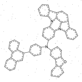 c1ccc2c(c1)cc(-c1ccc(N(c3ccc4oc5ccccc5c4c3)c3ccc4c(c3)n3c5ccccc5c5ccc6c7ccccc7n4c6c53)cc1)c1ccccc12